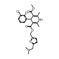 COC(=O)C1=C(C)NC(C)=C(C(=O)OCc2ccc(CN(C)C)o2)C1c1cccc(Cl)c1Cl